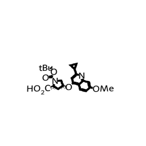 COc1ccc2c(O[C@@H]3C[C@@H](C(=O)O)N(C(=O)OC(C)(C)C)C3)cc(C3CC3)nc2c1